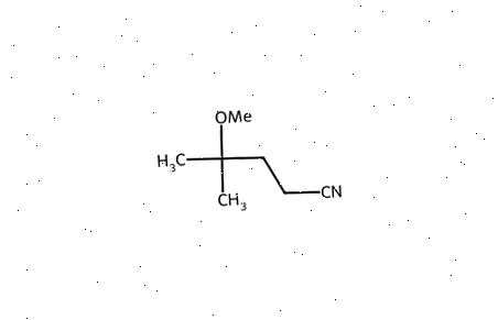 COC(C)(C)CCC#N